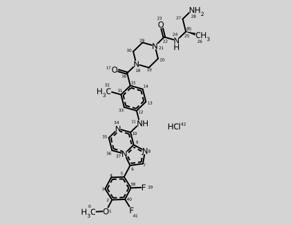 COc1ccc(-c2cnc3c(Nc4ccc(C(=O)N5CCN(C(=O)N[C@H](C)CN)CC5)c(C)c4)nccn23)c(F)c1F.Cl